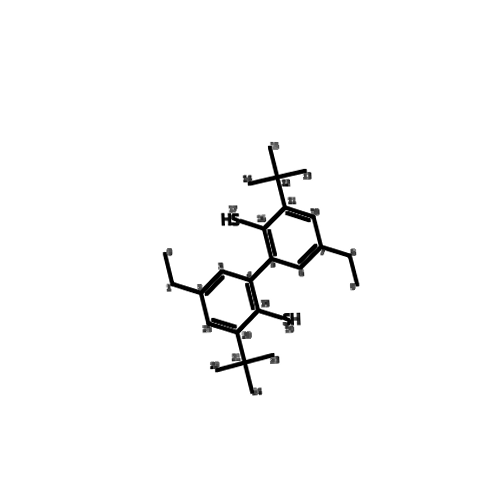 CCc1cc(-c2cc(CC)cc(C(C)(C)C)c2S)c(S)c(C(C)(C)C)c1